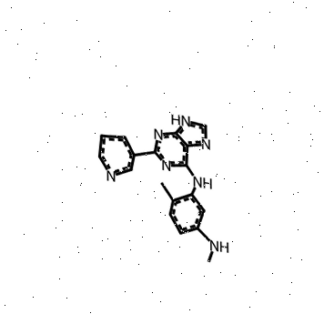 CNc1ccc(C)c(Nc2nc(-c3cccnc3)nc3[nH]cnc23)c1